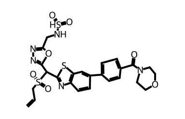 C=CCS(=O)(=O)C(c1nnc(CN[SH](=O)=O)o1)c1nc2ccc(-c3ccc(C(=O)N4CCOCC4)cc3)cc2s1